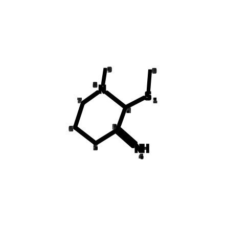 CSC1C(=N)CCCN1C